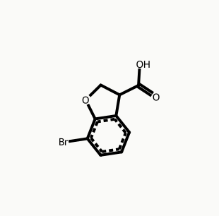 O=C(O)C1COc2c(Br)cccc21